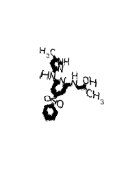 Cc1cc(Nc2cc(S(=O)(=O)c3ccccc3)cc(NC[C@H](C)O)n2)n[nH]1